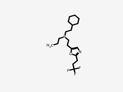 CCCN(CCc1cnc(CCC(F)(F)F)o1)CCC1CCCCC1